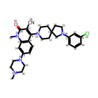 CN1CCN(c2ccc3c(N4CCC5(CCN(c6cccc(Cl)c6)C5)CC4)c(C#N)c(=O)n(C)c3c2)CC1